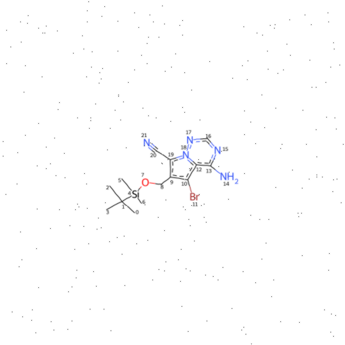 CC(C)(C)[Si](C)(C)OCc1c(Br)c2c(N)ncnn2c1C#N